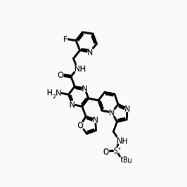 CC(C)(C)[S+]([O-])NCc1cnc2ccc(-c3nc(C(=O)NCc4ncccc4F)c(N)nc3-c3ncco3)cn12